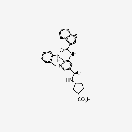 Cc1ccccc1Nc1ncc(C(=O)N[C@@H]2CC[C@H](C(=O)O)C2)cc1NC(=O)c1csc2ccccc12